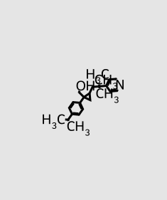 Cc1cnccc1C(C)(C)CC1CC1(CO)c1ccc(C(C)C)cc1